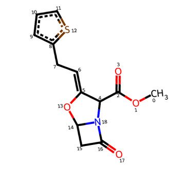 COC(=O)C1C(=CCc2cccs2)OC2CC(=O)N21